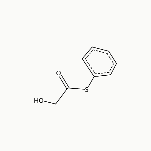 O=C(CO)Sc1ccccc1